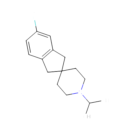 CC(C)N1CCC2(CC1)Cc1ccc(F)cc1C2